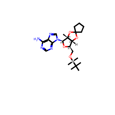 CC(C)(C)[Si](C)(C)OC[C@H]1O[C@@H](n2cnc3c(N)ncnc32)[C@]2(C)OC3(CCCC3)O[C@H]12